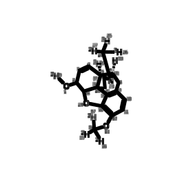 [2H]OC1C=C[C@@]2([2H])[C@H]3Cc4ccc(OC([2H])([2H])[2H])c5c4[C@@]2(CCN3C([2H])([2H])[2H])C1O5